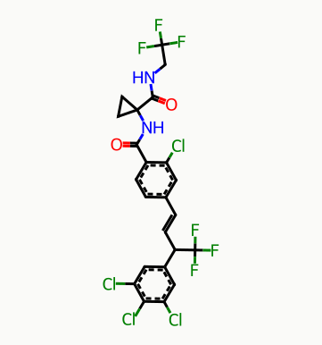 O=C(NC1(C(=O)NCC(F)(F)F)CC1)c1ccc(/C=C/C(c2cc(Cl)c(Cl)c(Cl)c2)C(F)(F)F)cc1Cl